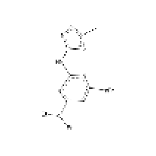 CCCc1cc(N(CC)CC)nc(Nc2ncc(C)s2)n1